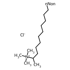 CCCCCCCCCCCCCCCCCCC(C)[N+](C)(C)C.[Cl-]